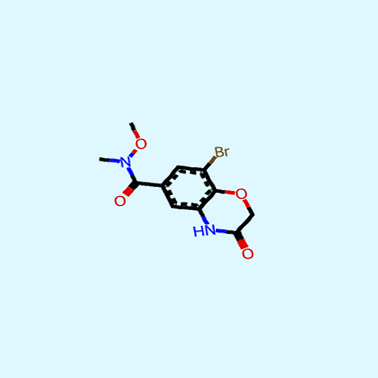 CON(C)C(=O)c1cc(Br)c2c(c1)NC(=O)CO2